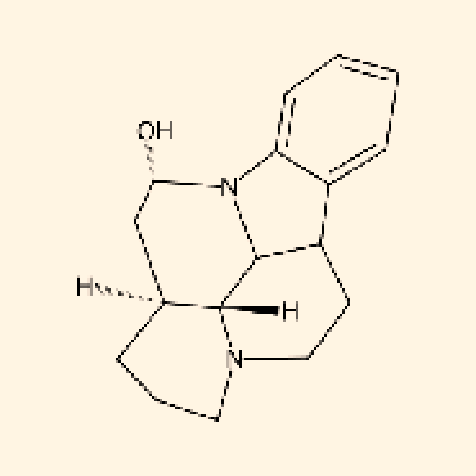 O[C@H]1C[C@@H]2CCCN3CCC4c5ccccc5N1C4[C@@H]23